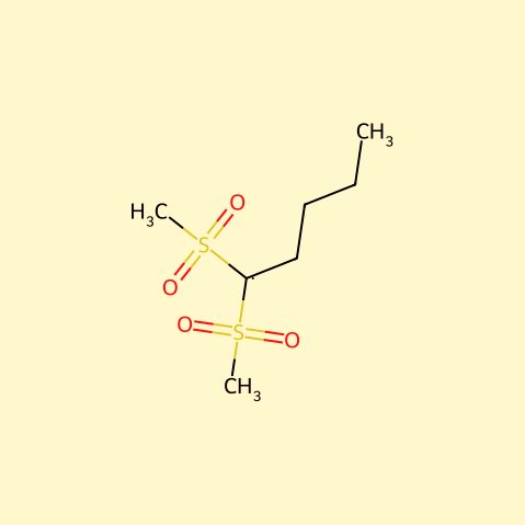 CCCC[C](S(C)(=O)=O)S(C)(=O)=O